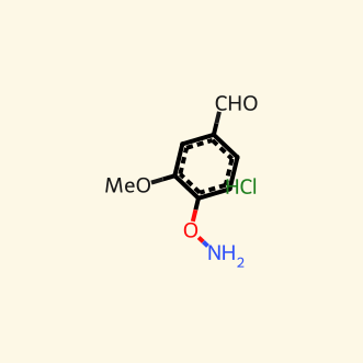 COc1cc(C=O)ccc1ON.Cl